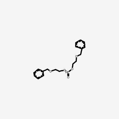 O=[PH](OCCOCc1ccccc1)OCCOCc1ccccc1